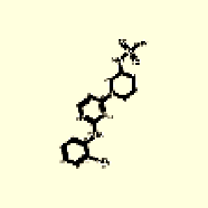 CCCS(=O)(=O)NC1CCCN(c2ccnc(Nc3ccccc3[N+](=O)[O-])n2)C1